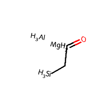 O=CC[SiH3].[AlH3].[MgH2]